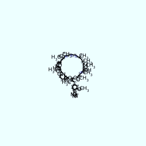 COC1C(=O)C(C)C[C@H](C)/C=C/C=C/C=C(\C)[C@@H](OC)C[C@@H]2CC[C@@H](C)[C@@](O)(O2)C(=O)C(=O)N2CCCC[C@H]2C(=O)O[C@H]([C@H](C)C[C@@H]2CC[C@H](n3cnnn3)[C@H](OC)C2)CC(=O)C(C)/C=C(\C)[C@H]1O